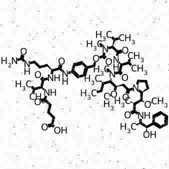 CC[C@H](C)[C@@H]([C@@H](CC(=O)N1CCC[C@H]1[C@H](OC)[C@@H](C)C(=O)N[C@H](C)[C@@H](O)c1ccccc1)OC)N(C)C(=O)[C@@H](NC(=O)[C@H](C(C)C)N(C)C(=O)OCc1ccc(NC(=O)[C@H](CCCNC(N)=O)NC(=O)[C@@H](NC(=O)CCCC(=O)O)C(C)C)cc1)C(C)C